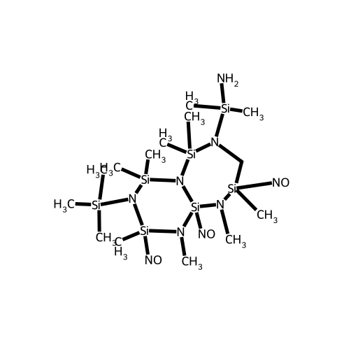 CN1[Si](C)(N=O)CN([Si](C)(C)N)[Si](C)(C)N2[Si](C)(C)N([Si](C)(C)C)[Si](C)(N=O)N(C)[Si]12N=O